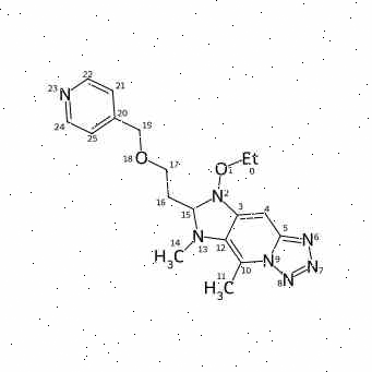 CCON1c2cc3nnnn3c(C)c2N(C)C1CCOCc1ccncc1